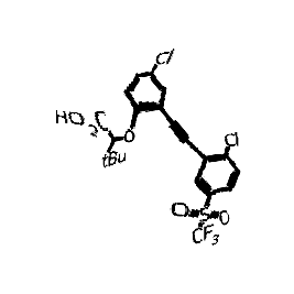 CC(C)(C)C(Oc1ccc(Cl)cc1C#Cc1cc(S(=O)(=O)C(F)(F)F)ccc1Cl)C(=O)O